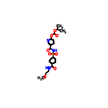 COCCNC(=O)c1ccc(S(=O)(=O)NC(=O)c2ccc(OC(=O)OC(C)C)nc2)cc1